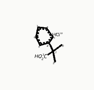 CC(C)(C(=O)O)c1ccccc1.Cl